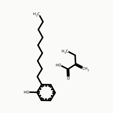 C=C(CC)C(=O)O.CCCCCCCCCc1ccccc1O